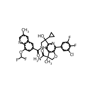 Cc1cnc2c(OC(F)F)cc(C(=O)NCC(O)(c3cc4c(c(-c5cc(F)c(F)c(Cl)c5)n3)OC[C@]4(C)C(N)=O)C3CC3)cc2c1